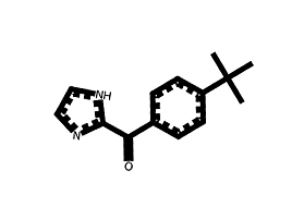 CC(C)(C)c1ccc(C(=O)c2ncc[nH]2)cc1